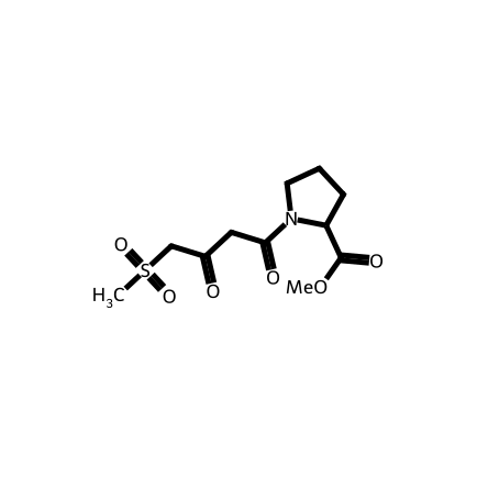 COC(=O)C1CCCN1C(=O)CC(=O)CS(C)(=O)=O